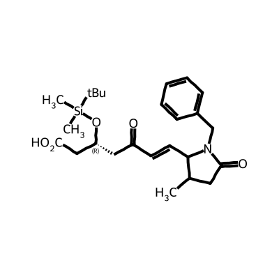 CC1CC(=O)N(Cc2ccccc2)C1C=CC(=O)C[C@H](CC(=O)O)O[Si](C)(C)C(C)(C)C